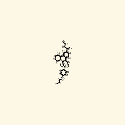 CCCOc1ccc([C@H]2OC[C@H](c3ccc(C(C)CCC)cc3C3CCCCC3)CO2)cc1